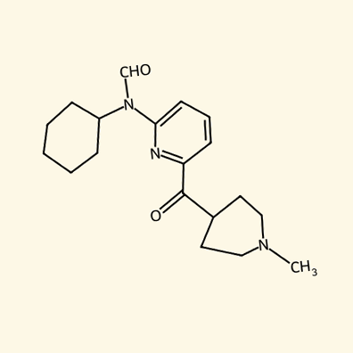 CN1CCC(C(=O)c2cccc(N(C=O)C3CCCCC3)n2)CC1